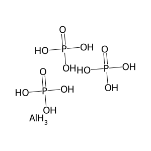 O=P(O)(O)O.O=P(O)(O)O.O=P(O)(O)O.[AlH3]